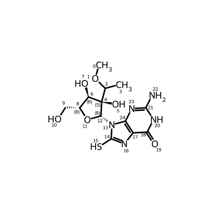 COC(C)[C@@]1(O)[C@H](O)[C@@H](CO)O[C@H]1n1c(S)nc2c(=O)[nH]c(N)nc21